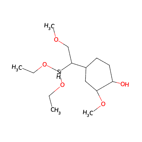 CCO[SiH](OCC)C(COC)C1CCC(O)C(OC)C1